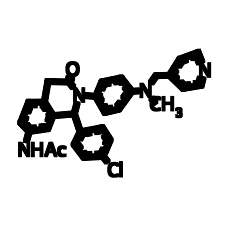 CC(=O)Nc1ccc2c(c1)C(c1ccc(Cl)cc1)N(c1ccc(N(C)Cc3ccncc3)cc1)C(=O)C2